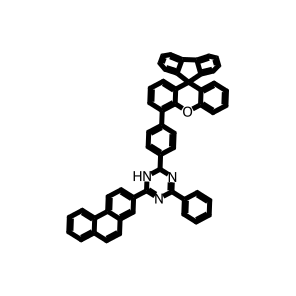 c1ccc(C2=NC(c3ccc(-c4cccc5c4Oc4ccccc4C54c5ccccc5-c5ccccc54)cc3)NC(c3ccc4c(ccc5ccccc54)c3)=N2)cc1